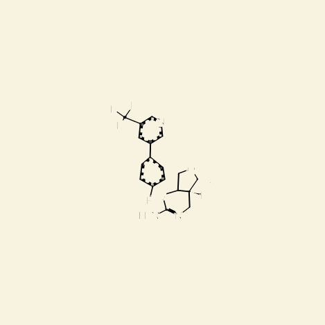 C[C@H]1OC[C@]2(c3cc(-c4cncc(C(F)(F)F)c4)ccc3F)SC(N)=NC[C@@H]12